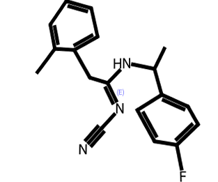 Cc1ccccc1C/C(=N\C#N)NC(C)c1ccc(F)cc1